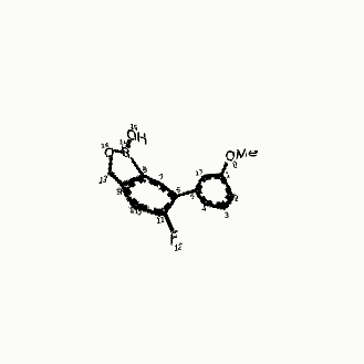 COc1cccc(-c2cc3c(cc2F)COB3O)c1